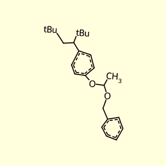 CC(OCc1ccccc1)Oc1ccc(C(CC(C)(C)C)C(C)(C)C)cc1